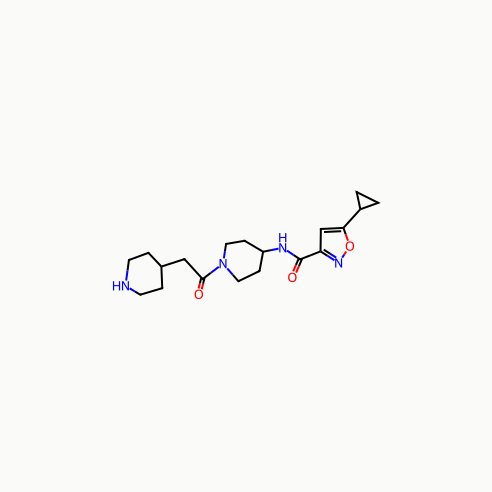 O=C(NC1CCN(C(=O)CC2CCNCC2)CC1)c1cc(C2CC2)on1